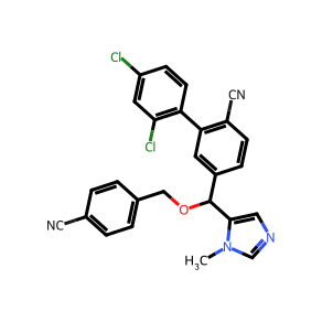 Cn1cncc1C(OCc1ccc(C#N)cc1)c1ccc(C#N)c(-c2ccc(Cl)cc2Cl)c1